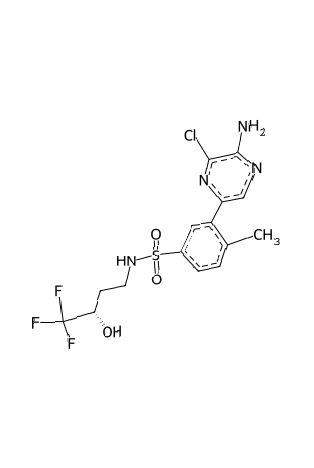 Cc1ccc(S(=O)(=O)NCC[C@H](O)C(F)(F)F)cc1-c1cnc(N)c(Cl)n1